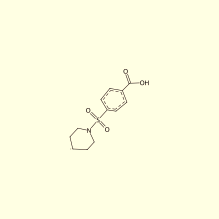 O=C(O)c1ccc(S(=O)(=O)N2CC[CH]CC2)cc1